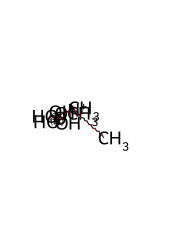 CCCCCCCCCCCCCCCC[N+](C)(C)CCCCO[C@@H]1O[C@H](CO)[C@@H](O)[C@H](O)C1O